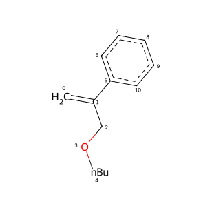 C=C(COCCCC)c1ccccc1